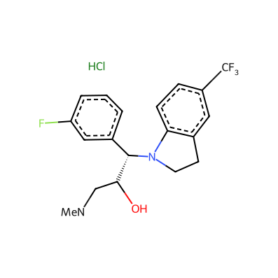 CNCC(O)[C@H](c1cccc(F)c1)N1CCc2cc(C(F)(F)F)ccc21.Cl